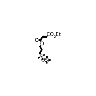 CCOC(=O)C=CC(=O)OCCC[Si](C)(C)O[Si](C)(C)C